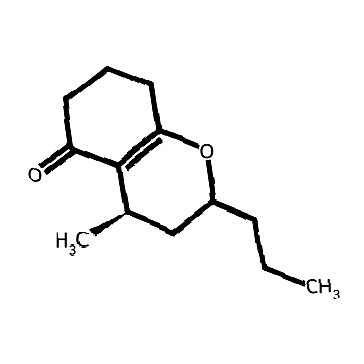 CCCC1C[C@@H](C)C2=C(CCCC2=O)O1